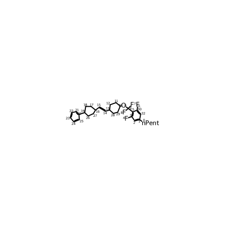 CCCCCc1cc(F)c(C(F)(F)OC2CCC(/C=C/C3CCC(c4ccccc4)CC3)CC2)c(F)c1